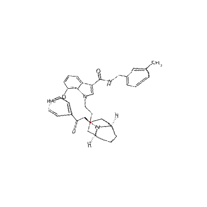 COc1cccc2c(C(=O)NCc3cccc(C)c3)cn(CCCN3[C@@H]4CC[C@H]3C[C@@H](CC(=O)c3ccccc3)C4)c12